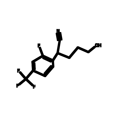 N#CC(CCCO)c1ccc(C(F)(F)F)cc1F